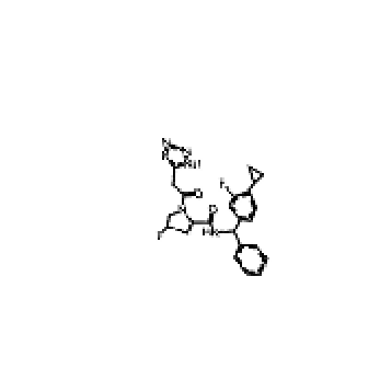 O=C(NC(c1ccccc1)c1ccc(C2CC2)c(F)c1)C1CC(F)CN1C(=O)Cc1nnn[nH]1